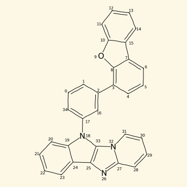 c1cc(-c2cccc3c2oc2ccccc23)cc(-n2c3ccccc3c3nc4ccccn4c32)c1